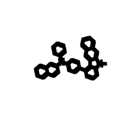 Cn1c2cc3ccccc3cc2c2c(-c3ccc(N(c4ccccc4)c4ccc5ccccc5c4)cc3)cccc21